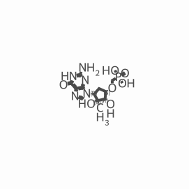 C[C@@]1(O)[C@H](O)[C@@H](OCP(=O)(O)O)C[C@H]1n1cnc2c(=O)[nH]c(N)nc21